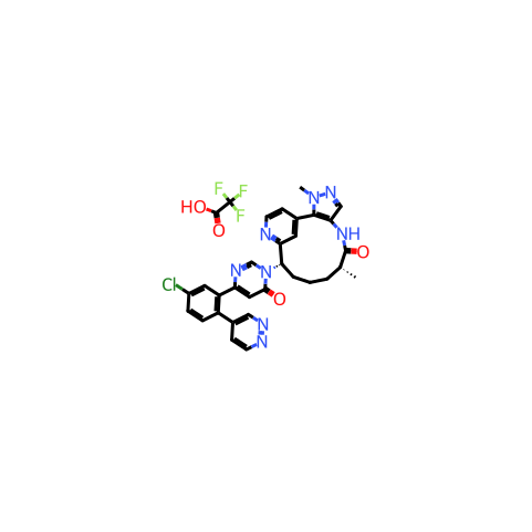 C[C@@H]1CCC[C@H](n2cnc(-c3cc(Cl)ccc3-c3ccnnc3)cc2=O)c2cc(ccn2)-c2c(cnn2C)NC1=O.O=C(O)C(F)(F)F